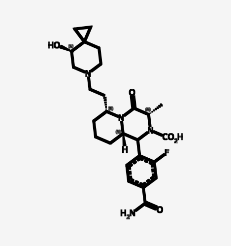 C[C@H]1C(=O)N2[C@@H](CCN3CCC4(CC4)[C@H](O)C3)CCC[C@H]2C(c2ccc(C(N)=O)cc2F)N1C(=O)O